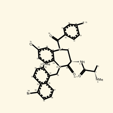 CN[C@@H](C)C(=O)N[C@H]1CN(C(=O)c2ccc(F)cc2)c2cc(Cl)ccc2N(Cc2c(OC)ccc3c(Br)cccc23)C1=O